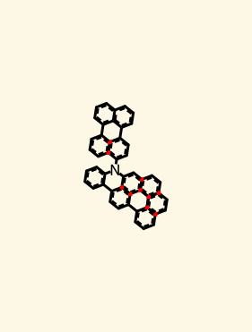 c1ccc(-c2ccc(N(c3ccc(-c4cccc5cccc(-c6ccccc6)c45)cc3)c3ccccc3-c3ccc(-c4ccccc4-c4ccccc4)cc3)cc2)cc1